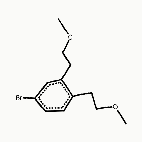 COCCc1ccc(Br)cc1CCOC